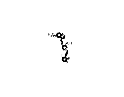 COc1ccc2nccc(CCC[C@@H]3CCN(CC#Cc4c(F)ccc(F)c4F)C[C@@H]3CO)c2c1